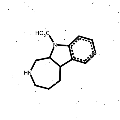 O=C(O)N1c2ccccc2C2CCCNCC21